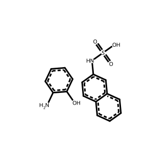 Nc1ccccc1O.O=S(=O)(O)Nc1ccc2ccccc2c1